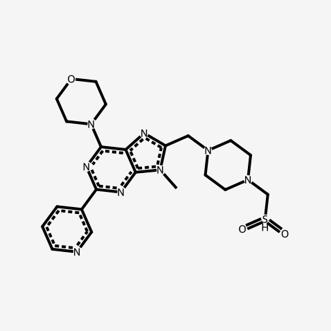 Cn1c(CN2CCN(C[SH](=O)=O)CC2)nc2c(N3CCOCC3)nc(-c3cccnc3)nc21